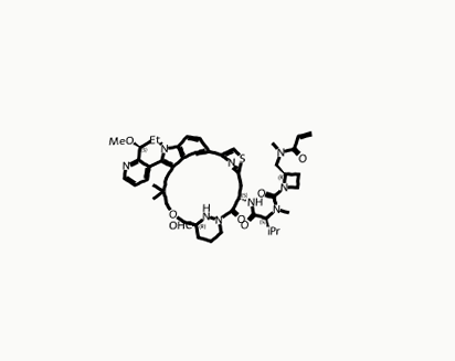 C=CC(=O)N(C)C[C@H]1CCN1C(=O)N(C)[C@H](C(=O)N[C@H]1Cc2nc(cs2)-c2ccc3c(c2)c(c(-c2cccnc2[C@H](C)OC)n3CC)CC(C)(C)COC[C@@]2(C=O)CCCN(N2)C1=O)C(C)C